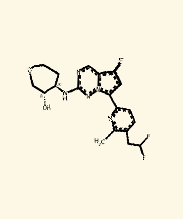 Cc1nc(-c2cc(F)c3cnc(N[C@@H]4CCOC[C@H]4O)nn23)ccc1CC(F)F